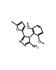 COc1cccc(OC)c1-n1c(N)nnc1-c1ccc(C)o1